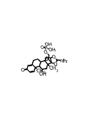 CCCC1OC2CC3C4CCC5=CC(=O)C=CC5(C)C4C(O)CC3(C)C2(C(=O)COP(=O)(O)O)O1